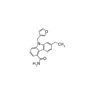 CCc1c[c]c2c3c(C(N)=O)cccc3n(Cc3ccoc3)c2c1